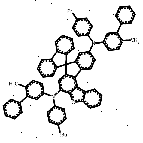 Cc1ccc(N(c2ccc(C(C)C)cc2)c2ccc3c(c2)C2(c4ccccc4-c4ccccc42)c2cc(N(c4ccc(C(C)(C)C)cc4)c4ccc(C)c(-c5ccccc5)c4)c4oc5ccccc5c4c2-3)cc1-c1ccccc1